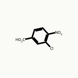 O=C(O)c1ccc([N+](=O)[O-])c(Cl)c1